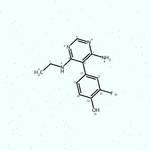 [CH2]CNc1ncnc(N)c1-c1ccc(O)c(F)c1